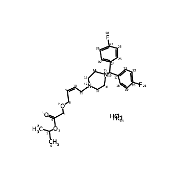 CC(C)OC(=O)COC/C=C\CN1CCN(C(c2ccc(F)cc2)c2ccc(F)cc2)CC1.Cl.Cl